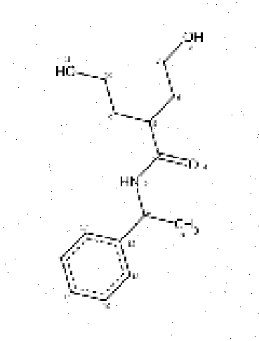 CC(NC(=O)C(CCO)CCO)c1ccccc1